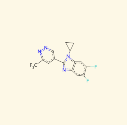 Fc1cc2nc(-c3cnnc(C(F)(F)F)c3)n(C3CC3)c2cc1F